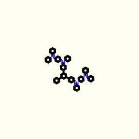 c1ccc(-c2cc(-c3ccc(N(c4ccccc4)c4ccc(N(c5ccccc5)c5ccccc5)cc4)cc3)cc(-c3ccc(N(c4ccccc4)c4ccc(N(c5ccccc5)c5ccccc5)cc4)cc3)c2)cc1